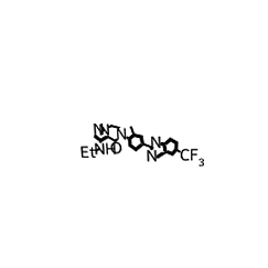 CCNc1cnn2c1C(=O)N(c1ccc(-c3ncc4cc(C(F)(F)F)ccc4n3)cc1C)CC2